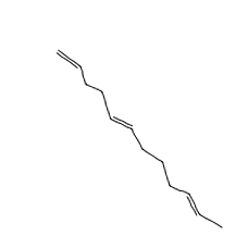 C=CCCC=CCCCC=CC